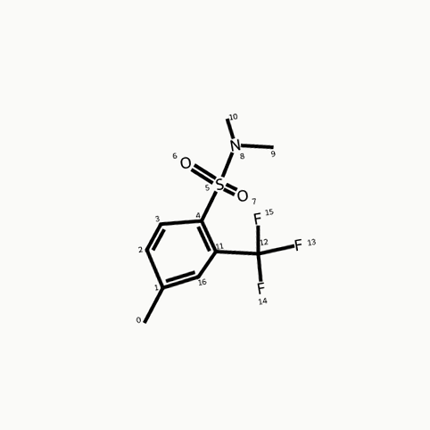 Cc1ccc(S(=O)(=O)N(C)C)c(C(F)(F)F)c1